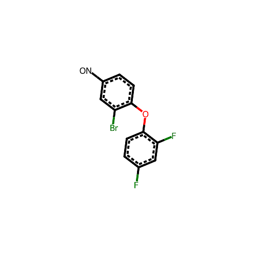 O=Nc1ccc(Oc2ccc(F)cc2F)c(Br)c1